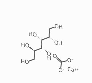 O=C([O-])[O-].OC[C@@H](O)[C@@H](O)[C@H](O)[C@@H](O)CO.[Ca+2]